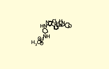 CS(=O)(=O)CCN[C@H]1CC[C@H](Nc2cc(-c3cccc(NCC4(N)CCOCC4)n3)c(Cl)cn2)CC1